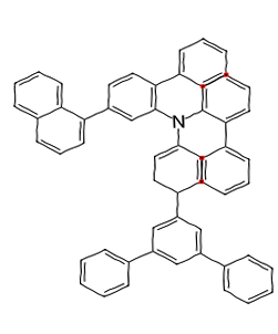 C1=CC(c2cc(-c3ccccc3)cc(-c3ccccc3)c2)CC=C1N(c1ccccc1-c1ccccc1)c1cc(-c2cccc3ccccc23)ccc1-c1ccccc1